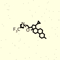 CC1CCC2C(CCC3C2CCC2(C)C(C(=O)Cn4cc(C(F)(F)F)cn4)CC(C4CC4)C32)C1